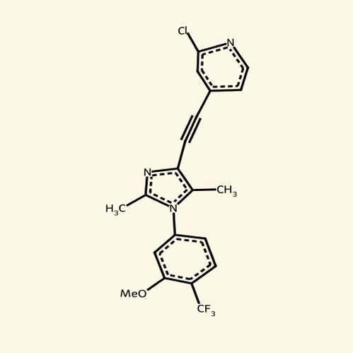 COc1cc(-n2c(C)nc(C#Cc3ccnc(Cl)c3)c2C)ccc1C(F)(F)F